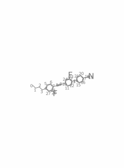 CCCCc1ccc(C#Cc2ccc(-c3ccc(C#N)cc3)c(F)c2)c(F)c1